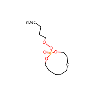 CCCCCCCCCCCCCOOP1(=O)OCCCCCCCCO1